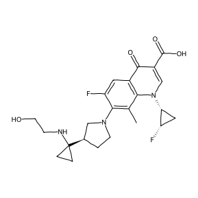 Cc1c(N2CC[C@@H](C3(NCCO)CC3)C2)c(F)cc2c(=O)c(C(=O)O)cn([C@@H]3C[C@@H]3F)c12